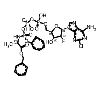 C[C@H](NP(=O)(Oc1ccccc1)OP(=O)(O)OP(=O)(O)OC[C@H]1O[C@@H](n2cnc3c(N)nc(Cl)nc32)[C@@H](F)[C@@H]1O)C(=O)OCc1ccccc1